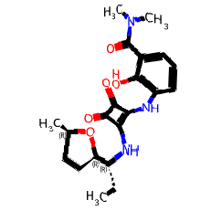 CC[C@@H](Nc1c(Nc2cccc(C(=O)N(C)C)c2O)c(=O)c1=O)[C@H]1CC[C@@H](C)O1